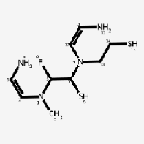 CN(/C=C\N)C(F)C(S)N(/C=C\N)CCS